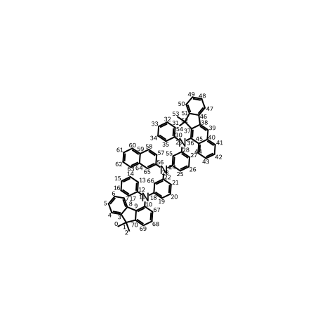 CC1(C)c2ccccc2-c2c(N(c3ccccc3)c3cccc(N(c4cccc(N(c5ccccc5)c5c6c(cc7ccccc57)-c5ccccc5C6(C)C)c4)c4ccc5ccccc5c4)c3)cccc21